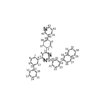 C1=CC(c2cc(-c3cccc(-c4ccccc4)c3)nc(-c3cccc(-c4ccc5ccccc5c4)c3)n2)CC=C1c1cccnc1